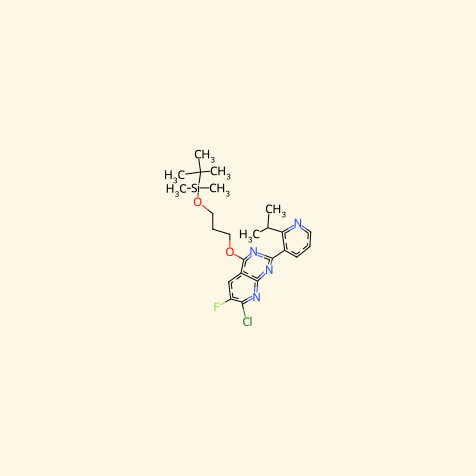 CC(C)c1ncccc1-c1nc(OCCCO[Si](C)(C)C(C)(C)C)c2cc(F)c(Cl)nc2n1